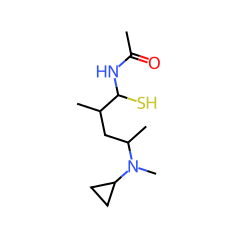 CC(=O)NC(S)C(C)CC(C)N(C)C1CC1